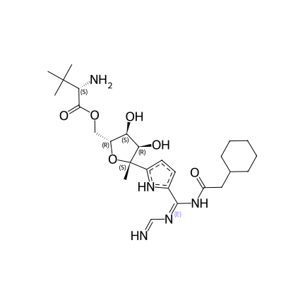 CC(C)(C)[C@H](N)C(=O)OC[C@H]1O[C@@](C)(c2ccc(/C(=N\C=N)NC(=O)CC3CCCCC3)[nH]2)[C@H](O)[C@@H]1O